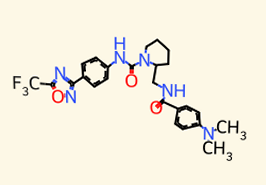 CN(C)c1ccc(C(=O)NCC2CCCCN2C(=O)Nc2ccc(-c3noc(C(F)(F)F)n3)cc2)cc1